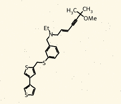 CCN(CC=CC#CC(C)(C)OC)Cc1cccc(SCc2cc(-c3ccsc3)cs2)c1